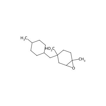 CC1CCC(CC2(C(=O)O)CCC3(C)OC3C2)CC1